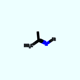 CCN=C(C)C(=O)O